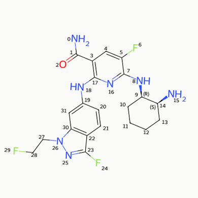 NC(=O)c1cc(F)c(N[C@@H]2CCCC[C@@H]2N)nc1Nc1ccc2c(F)nn(CCF)c2c1